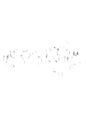 CCC(C)(C)[C@H](NC(=O)C1(F)CC1)C(=O)N1C[C@H](O)C[C@H]1C(=O)NCc1ccc(-c2scnc2C)cc1